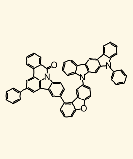 O=c1c2ccccc2c2cc(-c3ccccc3)cc3c4cc(-c5cccc6oc7ccc(-n8c9ccccc9c9cc%10c%11ccccc%11n(-c%11ccccc%11)c%10cc98)cc7c56)ccc4n1c23